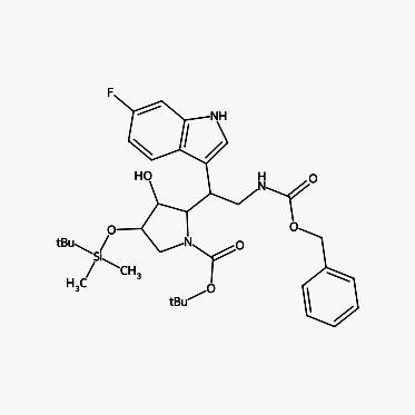 CC(C)(C)OC(=O)N1CC(O[Si](C)(C)C(C)(C)C)C(O)C1C(CNC(=O)OCc1ccccc1)c1c[nH]c2cc(F)ccc12